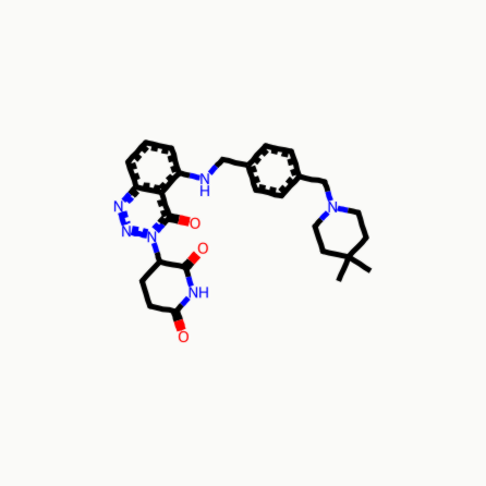 CC1(C)CCN(Cc2ccc(CNc3cccc4nnn(C5CCC(=O)NC5=O)c(=O)c34)cc2)CC1